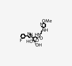 COc1ccc(NCCNC(=O)[C@H]2C[C@@H](n3cc(-c4cccc(F)c4)nn3)[C@@H](O)[C@@H](CO)O2)cn1